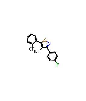 N#Cc1c(-c2ccc(F)cc2)nsc1-c1ccccc1C(F)(F)F